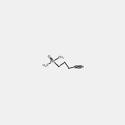 C[SH](C)(=O)CCCC#N